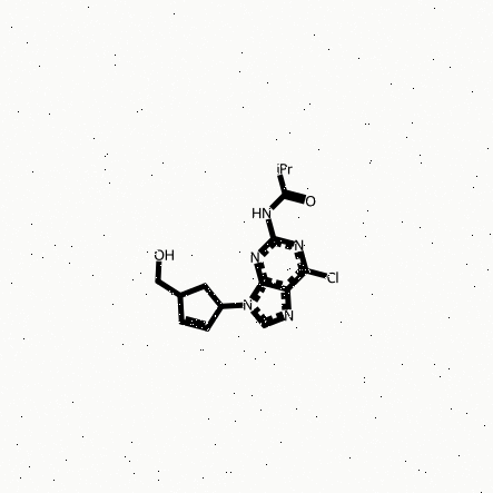 CC(C)C(=O)Nc1nc(Cl)c2ncn(C3C=CC(CO)C3)c2n1